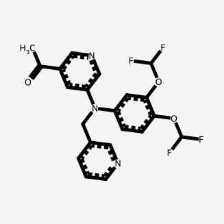 CC(=O)c1cncc(N(Cc2cccnc2)c2ccc(OC(F)F)c(OC(F)F)c2)c1